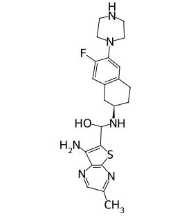 Cc1cnc2c(N)c(C(O)N[C@@H]3CCc4cc(N5CCNCC5)c(F)cc4C3)sc2n1